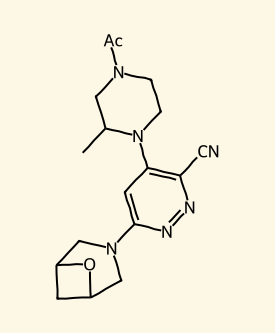 CC(=O)N1CCN(c2cc(N3CC4CC(C3)O4)nnc2C#N)C(C)C1